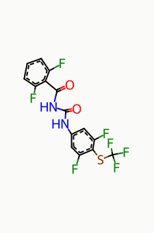 O=C(NC(=O)c1c(F)cccc1F)Nc1cc(F)c(SC(F)(F)F)c(F)c1